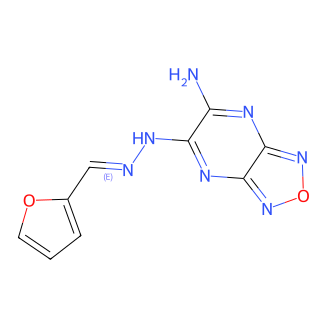 Nc1nc2nonc2nc1N/N=C/c1ccco1